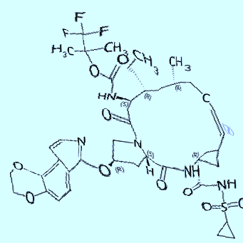 CC[C@@H]1C[C@H](C)CC/C=C\C2C[C@@]2(C(=O)NS(=O)(=O)C2CC2)NC(=O)[C@@H]2C[C@@H](Oc3nccc4c5c(ccc34)OCCO5)CN2C(=O)[C@H]1NC(=O)OC(C)(C)C(F)(F)F